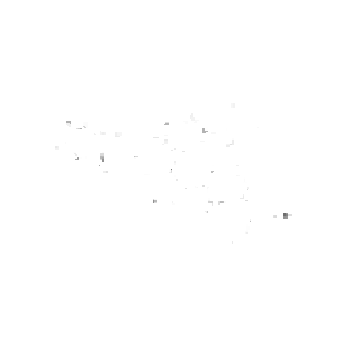 O=C(O)c1cccc(C2=C(c3cc(C(F)(F)F)ccc3OCc3ccccc3F)CCC2)n1